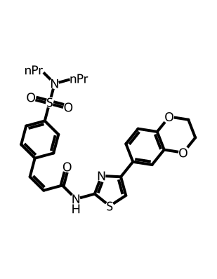 CCCN(CCC)S(=O)(=O)c1ccc(/C=C\C(=O)Nc2nc(-c3ccc4c(c3)OCCO4)cs2)cc1